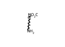 NCCCCCCCCOCC(=O)O